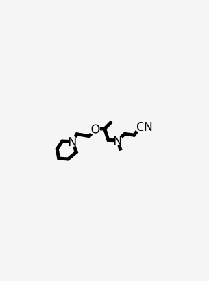 CC(CN(C)CCC#N)OCCN1CCCCC1